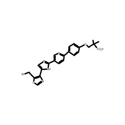 CC(C)Cc1ocnc1-c1cnc(-c2ccc(-c3ccc(OCC(C)(C)C(=O)O)cc3)nc2)[nH]1